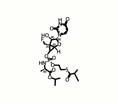 CC(C)OC(=O)[C@@H](C)N[P@](=O)(OCCSC(=O)C(C)C)OC1[C@H]2O[C@@H](n3ccc(=O)[nH]c3=O)[C@H](O)[C@@]12CF